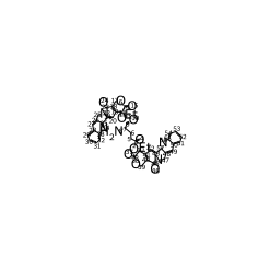 CC[C@@]1(OC(=O)CC[C@H](N)C(=O)O[C@]2(CC)C(=O)OCc3c2cc2n(c3=O)Cc3cc4ccccc4nc3-2)C(=O)OCc2c1cc1n(c2=O)Cc2cc3ccccc3nc2-1